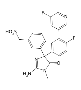 CN1C(=O)C(c2cccc(CS(=O)(=O)O)c2)(c2ccc(F)c(-c3cncc(F)c3)c2)N=C1N